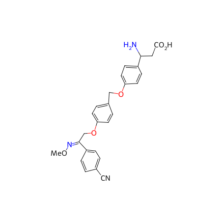 CO/N=C(/COc1ccc(COc2ccc(C(N)CC(=O)O)cc2)cc1)c1ccc(C#N)cc1